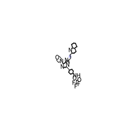 O=C(ONc1ccc(-c2cnc(N3CCOCC3)c3nc(/C=C/c4ccc5ccccc5n4)cn23)cc1)C(F)(F)F